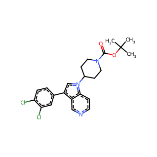 CC(C)(C)OC(=O)N1CCC(n2cc(-c3ccc(Cl)c(Cl)c3)c3cnccc32)CC1